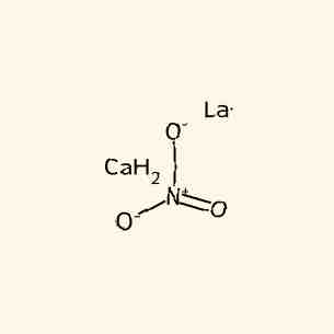 O=[N+]([O-])[O-].[CaH2].[La]